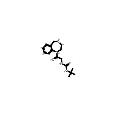 CC(C)(C)OC(=O)NCC(=O)N1CCOCc2ccccc21